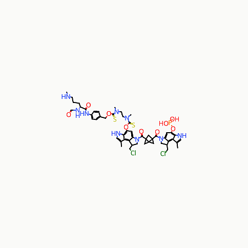 CNCCCC(NC=O)C(=O)Nc1ccc(COC(=S)N(C)CCN(C)C(=S)Oc2cc3c(c4c(C)c[nH]c24)C(CCl)CN3C(=O)C23CC4(C(=O)N5CC(CCl)c6c5cc(OP(O)O)c5[nH]cc(C)c65)CC24C3)cc1